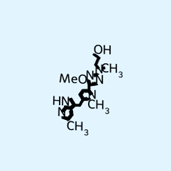 COc1nc(N(C)CCCO)ncc1-c1ccc(Cc2c[nH]c3ncc(C)cc23)c(C)n1